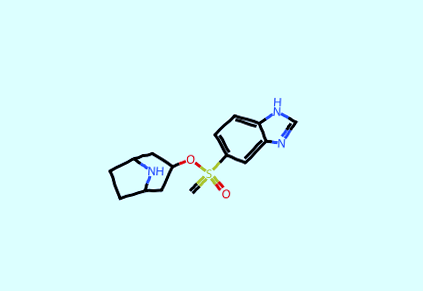 C=S(=O)(OC1CC2CCC(C1)N2)c1ccc2[nH]cnc2c1